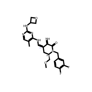 COC[C@H]1C/C(=C/Nc2nc(NC3COC3)ncc2C)C(=N)C(=O)N1Cc1ccc(F)c(F)c1